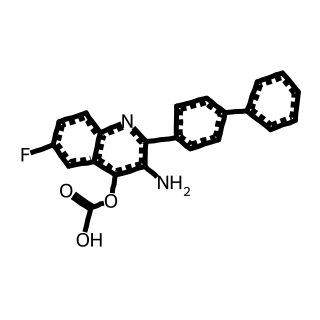 Nc1c(-c2ccc(-c3ccccc3)cc2)nc2ccc(F)cc2c1OC(=O)O